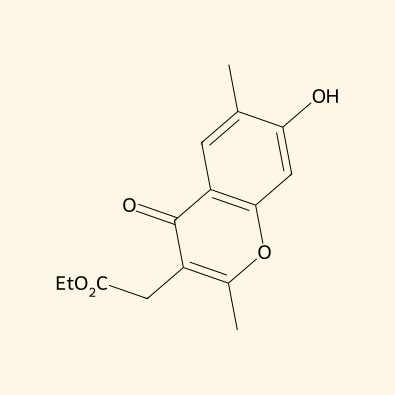 CCOC(=O)Cc1c(C)oc2cc(O)c(C)cc2c1=O